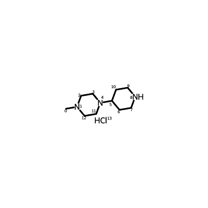 CN1CCN(C2CCNCC2)CC1.Cl